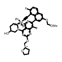 COCOc1cc(-c2nc(C)c3c(N4CCCC(O)C4)nc(OC[C@H]4CCCO4)nc3c2F)c2c(C#C[Si](C(C)C)(C(C)C)C(C)C)c(F)ccc2c1